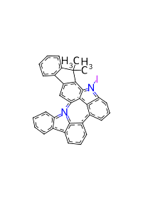 CC1(C)c2ccccc2-c2cc3c4c5c(cccc5n(I)c4c21)c1cccc2c4ccccc4n3c12